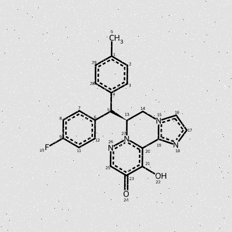 Cc1ccc(C(c2ccc(F)cc2)[C@H]2Cn3ccnc3-c3c(O)c(=O)cnn32)cc1